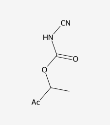 CC(=O)C(C)OC(=O)NC#N